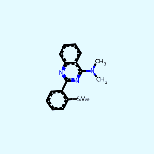 CSc1ccccc1-c1nc(N(C)C)c2ccccc2n1